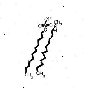 CCCCCCCCCCCCNC.CCCCCCCCCCCCOS(=O)(=O)O